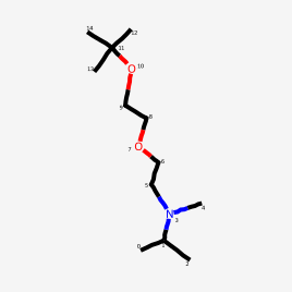 CC(C)N(C)CCOCCOC(C)(C)C